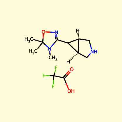 CN1C(C2[C@H]3CNC[C@@H]23)=NOC1(C)C.O=C(O)C(F)(F)F